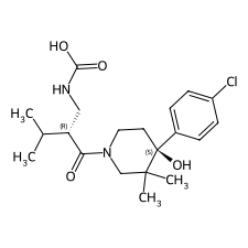 CC(C)[C@H](CNC(=O)O)C(=O)N1CC[C@](O)(c2ccc(Cl)cc2)C(C)(C)C1